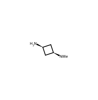 CN[C@H]1C[C@@H](N)C1